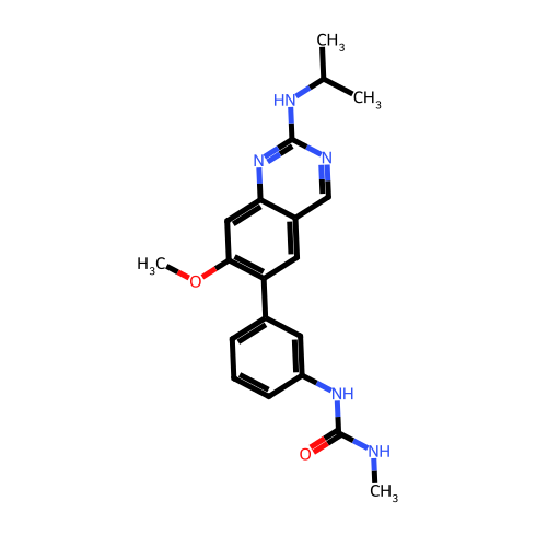 CNC(=O)Nc1cccc(-c2cc3cnc(NC(C)C)nc3cc2OC)c1